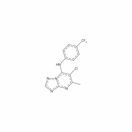 Cc1nc2ncnn2c(Nc2ccc(C(F)(F)F)cc2)c1Cl